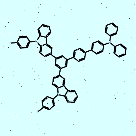 Fc1ccc(-n2c3ccccc3c3cc(-c4cc(-c5ccc(-c6ccc(N(c7ccccc7)c7ccccc7)cc6)cc5)cc(-c5ccc6c(c5)c5ccccc5n6-c5ccc(F)cc5)c4)ccc32)cc1